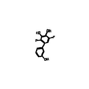 Oc1cccc(-c2cc(F)c(O)c(O)c2F)c1